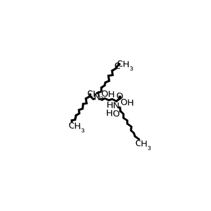 CCCCCCCCCCC(C)CN(CCCCC(NCC(O)CCCCCCCCCC)C(=O)O)CC(O)CCCCCCCCCC